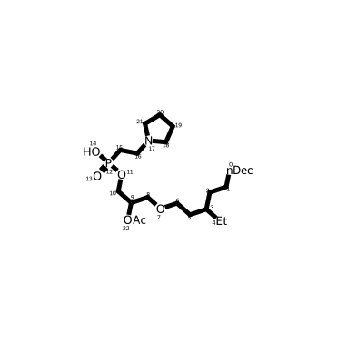 CCCCCCCCCCCCC(CC)CCOCC(COP(=O)(O)CCN1CCCC1)OC(C)=O